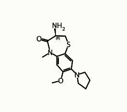 COc1cc2c(cc1N1CCCC1)SC[C@H](N)C(=O)N2C